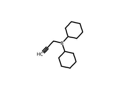 C#CCB(C1CCCCC1)C1CCCCC1